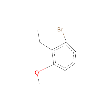 CCc1c(Br)cccc1OC